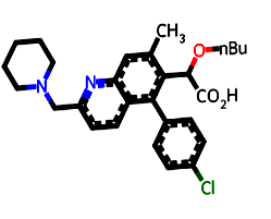 CCCCOC(C(=O)O)c1c(C)cc2nc(CN3CCCCC3)ccc2c1-c1ccc(Cl)cc1